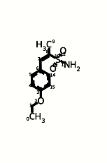 CCOc1ccc(C=C(C)S(N)(=O)=O)cc1